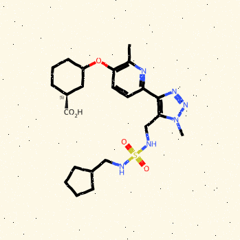 Cc1nc(-c2nnn(C)c2CNS(=O)(=O)NCC2CCCC2)ccc1OC1CCC[C@H](C(=O)O)C1